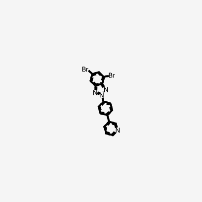 Brc1cc(Br)c2nn(-c3ccc(-c4cccnc4)cc3)nc2c1